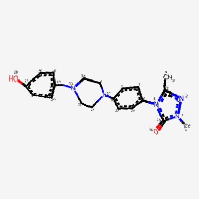 CCn1nc(C)n(-c2ccc(N3CCN(c4ccc(O)cc4)CC3)cc2)c1=O